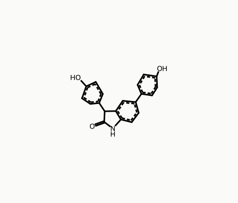 O=C1Nc2ccc(-c3ccc(O)cc3)cc2C1c1ccc(O)cc1